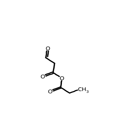 CCC(=O)OC(=O)CC=O